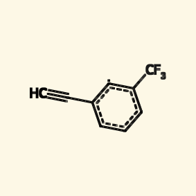 C#Cc1[c]c(C(F)(F)F)ccc1